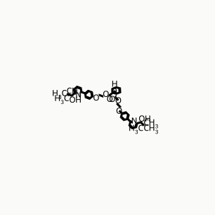 CC(C)(C)C(O)c1cccc(-c2ccc(OCCOC(=O)C3C[C@@H]4C=C[C@@]3(C(=O)OCCOc3ccc(-c5cccc(C(O)C(C)(C)C)n5)cc3)O4)cc2)n1